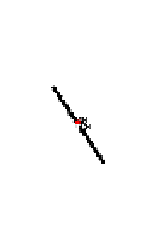 CCCCCCCCCCCCCCCCCC[P]CCCCCCCCCCCCCCCCCC.OCCO